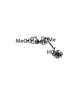 COCCO[C@@H]1CC[C@@H](C[C@@H](C)CCC(=O)[C@H](C)/C=C(\C)[C@@H](O)[C@@H](OC)C(=O)[C@H](C)C[C@H](C)/C=C/C=C/C=C(\C)CC[C@@H]2CC[C@@H](C)[C@](O)(C(=O)C(=O)N3CCCC[C@H]3C(=O)O)O2)C[C@H]1OC